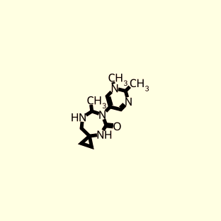 CC1N=CC(N2C(=O)NC3(CC3)CNC2C)=CN1C